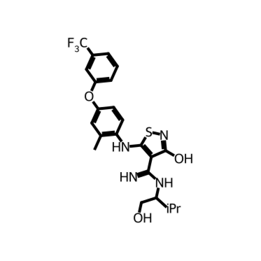 Cc1cc(Oc2cccc(C(F)(F)F)c2)ccc1Nc1snc(O)c1C(=N)NC(CO)C(C)C